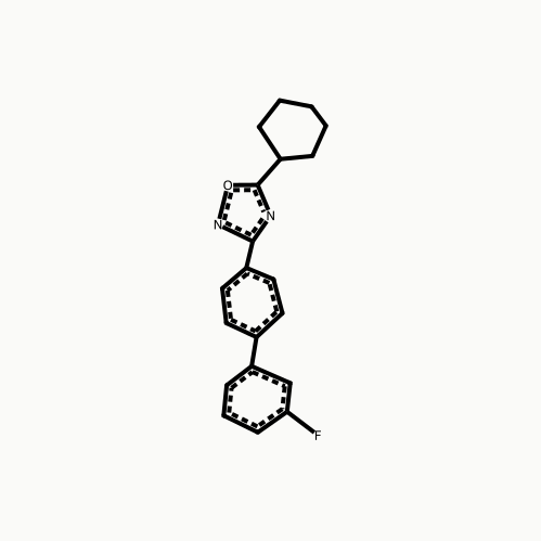 Fc1cccc(-c2ccc(-c3noc(C4CCCCC4)n3)cc2)c1